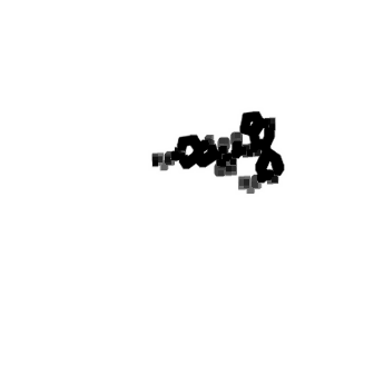 Cc1cc(-c2cnc3c(c2NC(=O)NS(=O)(=O)c2cc4c(s2)CCN(C)C4)CCC3)ccn1